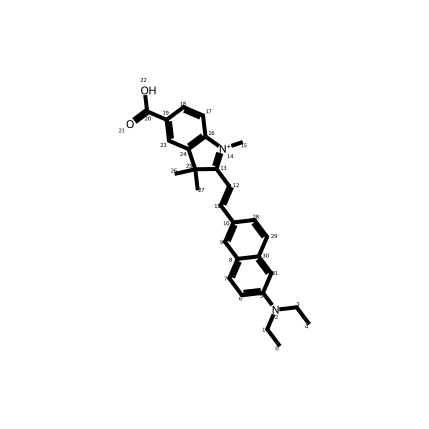 CCN(CC)c1ccc2cc(/C=C/C3=[N+](C)c4ccc(C(=O)O)cc4C3(C)C)ccc2c1